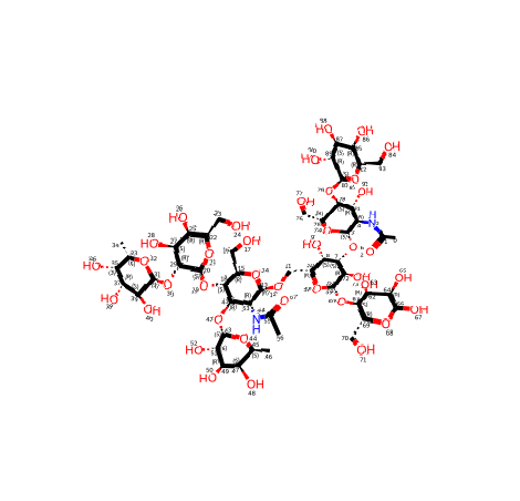 CC(=O)N[C@H]1[C@H](O[C@H]2[C@@H](O)[C@@H](CO[C@@H]3O[C@H](CO)[C@@H](O[C@@H]4O[C@H](CO)[C@H](O)[C@H](O)[C@H]4O[C@@H]4O[C@@H](C)[C@@H](O)[C@@H](O)[C@@H]4O)[C@H](O[C@@H]4O[C@@H](C)[C@@H](O)[C@@H](O)[C@@H]4O)[C@H]3NC(C)=O)O[C@@H](O[C@H]3[C@H](O)[C@@H](O)C(O)O[C@@H]3CO)[C@@H]2O)O[C@H](CO)[C@@H](O[C@@H]2O[C@H](CO)[C@H](O)[C@H](O)[C@H]2O)[C@@H]1O